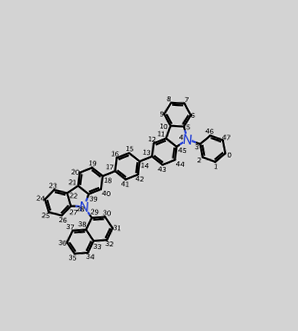 c1ccc(-n2c3ccccc3c3cc(-c4ccc(-c5ccc6c7ccccc7n(-c7cccc8ccccc78)c6c5)cc4)ccc32)cc1